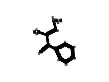 CC(=CC(=O)O)C(=O)c1ccccc1